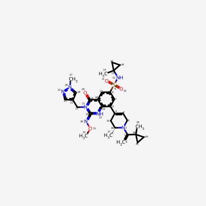 C=C(N1CC=C(c2cc(S(=O)(=O)NC3(C)CC3)cc3c(=O)n(Cc4cnn(C)c4)/c(=N/OC)[nH]c23)C[C@H]1C)C1(C)CC1